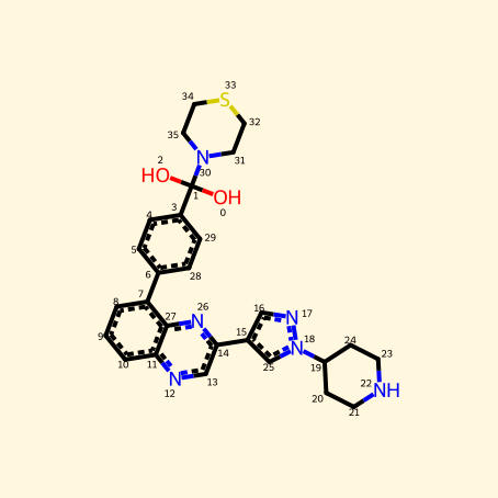 OC(O)(c1ccc(-c2cccc3ncc(-c4cnn(C5CCNCC5)c4)nc23)cc1)N1CCSCC1